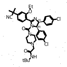 CCOc1cc(C(C)(C)C#N)ccc1C1=N[C@@H](c2ccc(Cl)cc2)[C@@H](c2ccc(Cl)cc2)N1C(=O)N1CCN(CC(=O)NC(C)(C)C)CC1